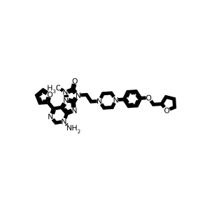 Cn1c(=O)n(CCN2CCN(c3ccc(OCC4CCCO4)cc3)CC2)c2nc3c(n21)C(c1ccco1)=NCN3N